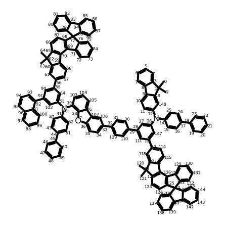 CC1(C)c2ccccc2-c2ccc(N(c3ccc(-c4ccccc4)cc3)c3cc(-c4ccc(-c5ccc6oc7c(N(c8ccc(-c9ccccc9)cc8)c8cc(-c9ccc%10c(c9)C(C)(C)c9ccc%11c(c9-%10)-c9ccccc9C%119c%10ccccc%10-c%10ccccc%109)cc(-c9cccc%10ccccc9%10)c8)cccc7c6c5)cc4)cc(-c4ccc5c(c4)C(C)(C)c4ccc6c(c4-5)-c4ccccc4C64c5ccccc5-c5ccccc54)c3)cc21